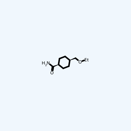 CCOC[C@H]1CC[C@@H](C(N)=O)CC1